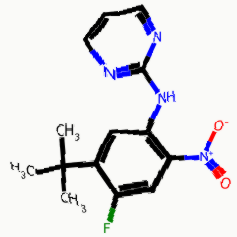 CC(C)(C)c1cc(Nc2ncccn2)c([N+](=O)[O-])cc1F